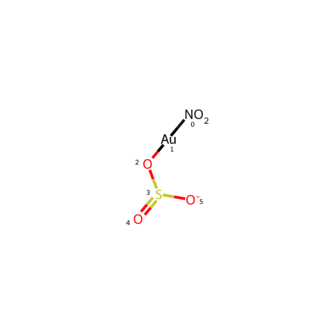 O=[N+]([O-])[Au][O]S(=O)[O-]